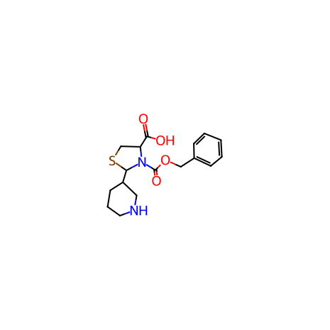 O=C(O)C1CSC(C2CCCNC2)N1C(=O)OCc1ccccc1